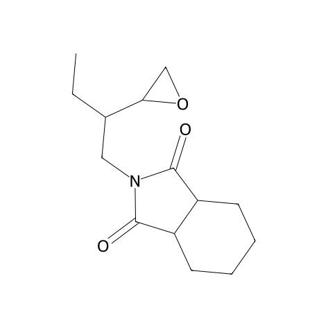 CCC(CN1C(=O)C2CCCCC2C1=O)C1CO1